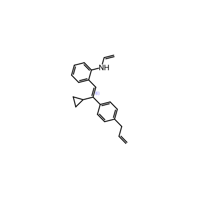 C=CCc1ccc(/C(=C/c2ccccc2NC=C)C2CC2)cc1